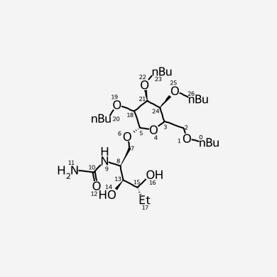 CCCCOCC1O[C@H](OC[C@H](NC(N)=O)[C@H](O)[C@H](O)CC)C(OCCCC)[C@@H](OCCCC)[C@H]1OCCCC